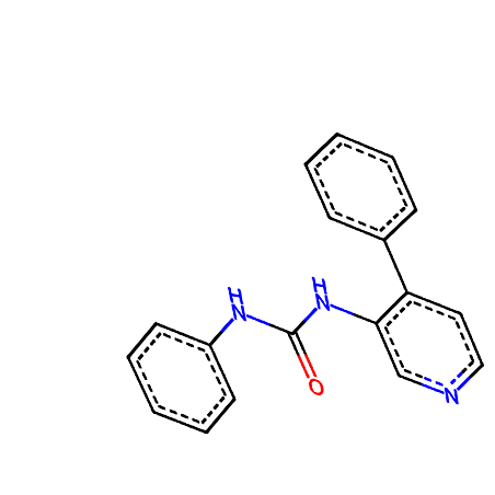 O=C(Nc1ccccc1)Nc1cnccc1-c1ccccc1